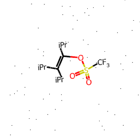 CC(C)C(OS(=O)(=O)C(F)(F)F)=C(C(C)C)C(C)C